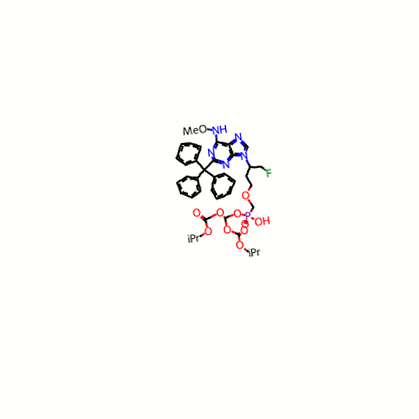 CONc1nc(C(c2ccccc2)(c2ccccc2)c2ccccc2)nc2c1ncn2C(CF)CCOCP(=O)(O)OC(OC(=O)OC(C)C)OC(=O)OC(C)C